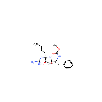 COC(=O)[C@@](CCC[N+](=O)[O-])(NC(=N)N)NC(=O)[C@@H](Cc1ccccc1)NC(=O)OC(C)(C)C